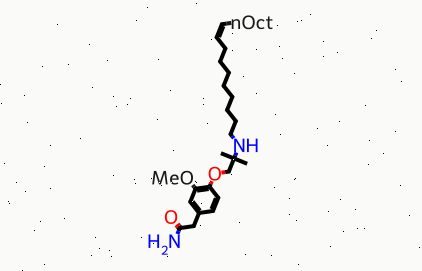 CCCCCCCC/C=C\CCCCCCCCNC(C)(C)COc1ccc(CC(N)=O)cc1OC